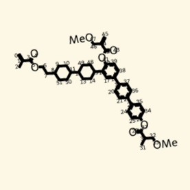 C=C(C)C(=O)OCCC1CCC(C2CCC(c3cc(-c4ccc(-c5ccc(OC(=O)C(C)COC)cc5)cc4)ccc3OC(=O)C(=C)COC)CC2)CC1